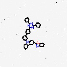 c1ccc(-c2nc(-c3ccccc3)nc(-c3ccc(-c4cccc(-n5c6ccccc6c6cc(-c7nc8ccccc8o7)ccc65)c4)cc3)n2)cc1